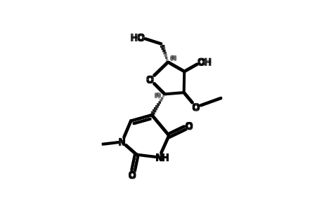 COC1C(O)[C@@H](CO)O[C@H]1c1cn(C)c(=O)[nH]c1=O